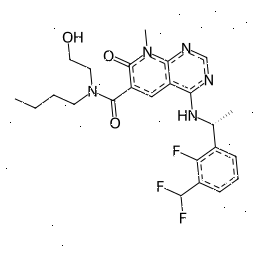 CCCCN(CCO)C(=O)c1cc2c(N[C@H](C)c3cccc(C(F)F)c3F)ncnc2n(C)c1=O